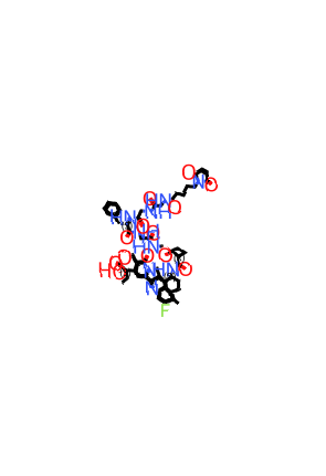 CC[C@@]1(O)C(=O)OCc2c1cc1n(c2=O)Cc2c-1nc1cc(F)c(C)c3c1c2[C@@H](NC(=O)[C@@H]1CCC1OCNC(=O)CNC(=O)[C@H](Cc1ccccc1)NC(=O)CNC(=O)CNC(=O)CCCCN1C(=O)C=CC1=O)CC3